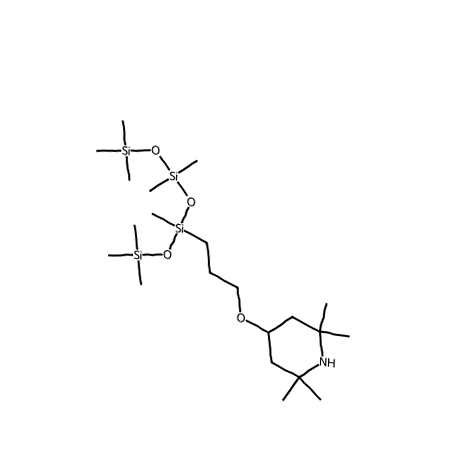 CC1(C)CC(OCCC[Si](C)(O[Si](C)(C)C)O[Si](C)(C)O[Si](C)(C)C)CC(C)(C)N1